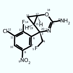 NC1=N[C@](CF)(c2cc([N+](=O)[O-])cc(Cl)c2F)[C@H]2C[C@H]2O1